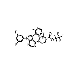 Cc1nccnc1-c1cn(-c2cc(F)cc(F)c2)c2ncnc(N3CCN(C(=O)OC(C)(C)C(F)(F)F)[C@H](C)C3)c12